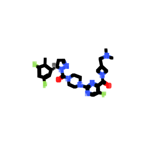 CC1C(F)=CC(F)=CC1[C@@H]1CC=NN1C(=O)N1CCN(c2ncc(F)c(C(=O)N3CC(CN(C)C)C3)n2)CC1